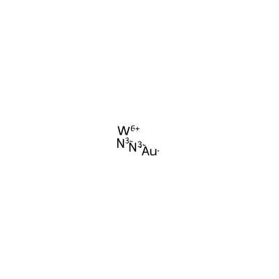 [Au].[N-3].[N-3].[W+6]